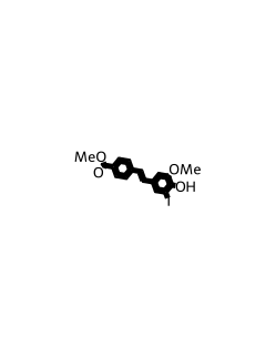 COC(=O)c1ccc(/C=C/c2cc(I)c(O)c(OC)c2)cc1